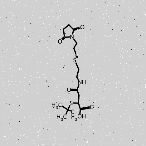 CC(C)(C)SC(CC(=O)NCCSSCCN1C(=O)CCC1=O)C(=O)O